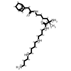 C[C@](N)(CCCCNC(=O)CC1CC2CCC1C2)C(=O)NCCCNCCCCNCCCN